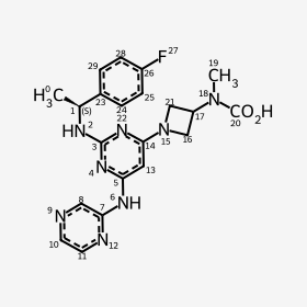 C[C@H](Nc1nc(Nc2cnccn2)cc(N2CC(N(C)C(=O)O)C2)n1)c1ccc(F)cc1